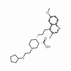 COc1ccc2ncc(F)c(CCC[C@H]3CCN(CCSC4CCCC4)C[C@H]3C(=O)O)c2c1